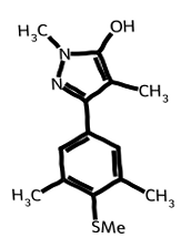 CSc1c(C)cc(-c2nn(C)c(O)c2C)cc1C